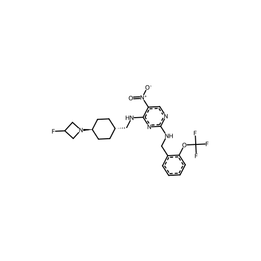 O=[N+]([O-])c1cnc(NCc2ccccc2OC(F)(F)F)nc1NC[C@H]1CC[C@H](N2CC(F)C2)CC1